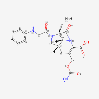 NC(=O)OCC1=C(C(=O)O)N2C(=O)[C@@H]3[C@H]2[C@H](C1)CN3C(=O)CNc1ccccc1.[NaH]